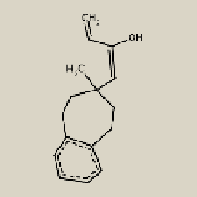 C=C/C(O)=C\C1(C)CCc2ccccc2CC1